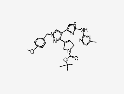 COc1ccc(Cn2cc(-c3csc(Nc4nccc(C)n4)n3)c(C3=CCN(C(=O)OC(C)(C)C)C3)n2)cc1